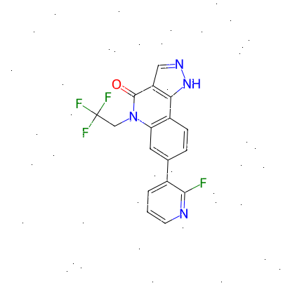 O=c1c2cn[nH]c2c2ccc(-c3cccnc3F)cc2n1CC(F)(F)F